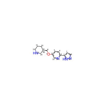 c1cc(-c2ccc(OC[C@@H]3CCCNC3)cn2)[nH]n1